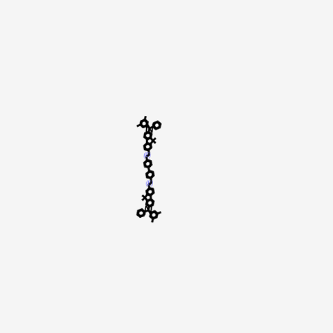 Cc1cc(C)cc(N(c2ccccc2)c2ccc3c(c2)C(C)(C)c2cc(/C=C/c4ccc(-c5ccc(/C=C/c6ccc7c(c6)C(C)(C)c6cc(N(c8ccccc8)c8cc(C)cc(C)c8)ccc6-7)cc5)cc4)ccc2-3)c1